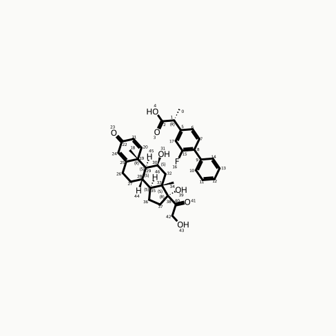 C[C@@H](C(=O)O)c1ccc(-c2ccccc2)c(F)c1.C[C@]12C=CC(=O)C=C1CC[C@@H]1[C@@H]2[C@@H](O)C[C@@]2(C)[C@H]1CC[C@]2(O)C(=O)CO